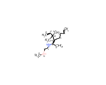 C=CCC/C(=C(\C)NCCBC)C(C)(C)C=C